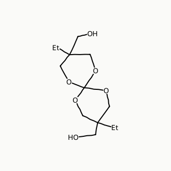 CCC1(CO)COC2(OC1)OCC(CC)(CO)CO2